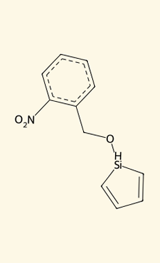 O=[N+]([O-])c1ccccc1CO[SiH]1C=CC=C1